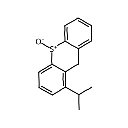 CC(C)c1cccc2c1Cc1ccccc1[S+]2[O-]